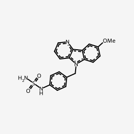 COc1ccc2c(c1)c1ncccc1n2Cc1ccc(NS(N)(=O)=O)cc1